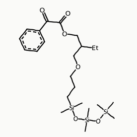 CCC(COCCC[Si](C)(C)O[Si](C)(C)O[Si](C)(C)C)COC(=O)C(=O)c1ccccc1